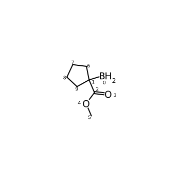 BC1(C(=O)OC)CCCC1